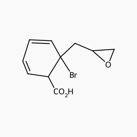 O=C(O)C1C=CC=CC1(Br)CC1CO1